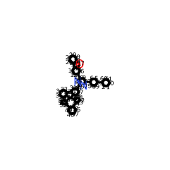 c1ccc(-c2ccc(-c3cc(-c4ccc5c(c4)oc4ccccc45)nc(-c4ccc5c(c4)-c4ccccc4C54c5ccccc5-c5ccccc5-c5ccccc54)n3)cc2)cc1